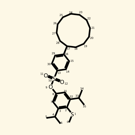 CSc1c(C(C)C)cc(OS(=O)(=O)c2ccc(C3CCCCCCCCCCC3)cc2)cc1C(C)C